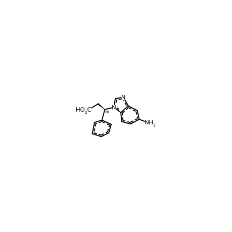 Nc1ccc2c(c1)ncn2[C@H](CC(=O)O)c1ccccc1